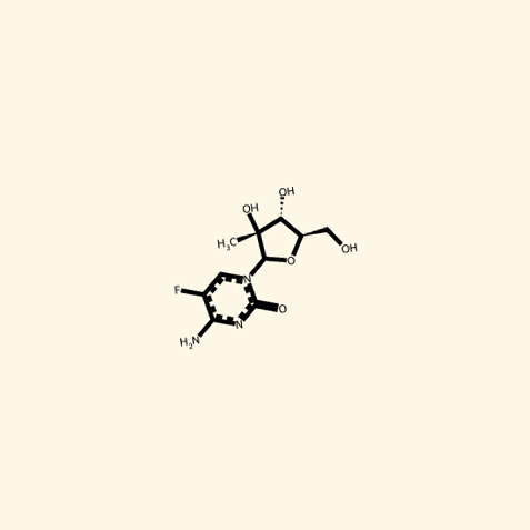 C[C@]1(O)C(n2cc(F)c(N)nc2=O)O[C@H](CO)[C@H]1O